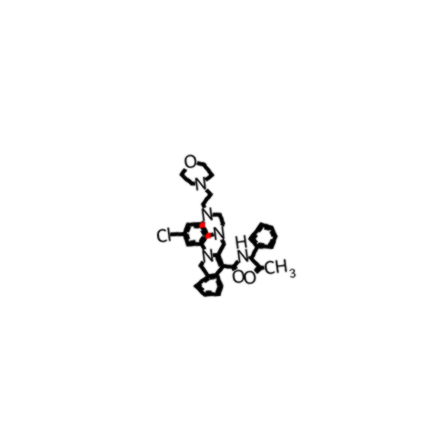 CC(=O)[C@@H](NC(=O)C1=C(CN2CCN(CCN3CCOCC3)CC2)N(c2cccc(Cl)c2)Cc2ccccc21)c1ccccc1